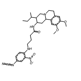 CCC(C)C1CN2CCc3cc(OC)c(OC)cc3C2CC1NC(=O)CCCNc1ccc(N=[N+]=[N-])cc1[N+](=O)[O-]